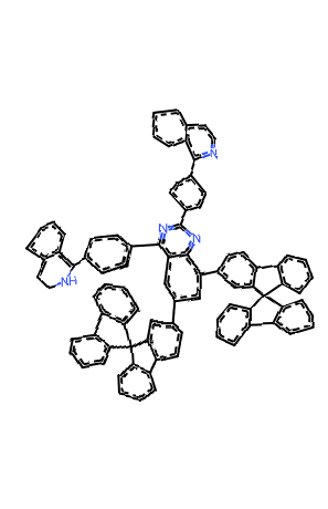 C1=c2ccccc2=C(c2ccc(-c3nc(-c4ccc(-c5nccc6ccccc56)cc4)nc4c(-c5ccc6c(c5)C5(c7ccccc7-c7ccccc75)c5ccccc5-6)cc(-c5ccc6c(c5)C5(c7ccccc7-c7ccccc75)c5ccccc5-6)cc34)cc2)NC1